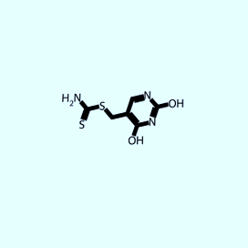 NC(=S)SCc1cnc(O)nc1O